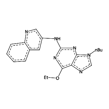 CCCCn1cnc2c(OCC)nc(Nc3cnc4ccccc4c3)nc21